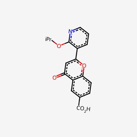 CC(C)Oc1ncccc1-c1cc(=O)c2cc(C(=O)O)ccc2o1